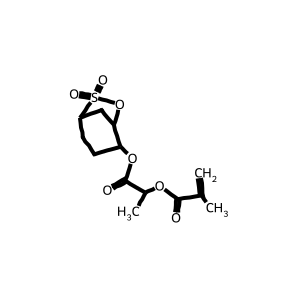 C=C(C)C(=O)OC(C)C(=O)OC1CCC2CC1OS2(=O)=O